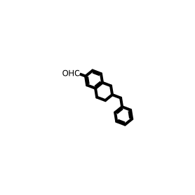 O=Cc1ccc2c(c1)CCC(Cc1ccccc1)C2